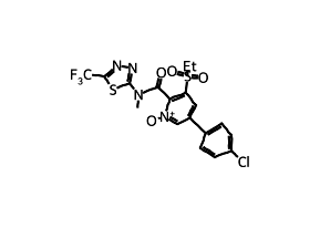 CCS(=O)(=O)c1cc(-c2ccc(Cl)cc2)c[n+]([O-])c1C(=O)N(C)c1nnc(C(F)(F)F)s1